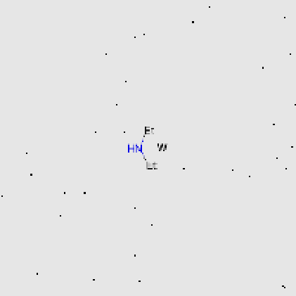 CCNCC.[W]